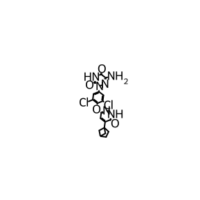 Nc1nn(-c2cc(Cl)c(Oc3cc(C45CCC(C4)C5)c(=O)[nH]n3)c(Cl)c2)c(=O)[nH]c1=O